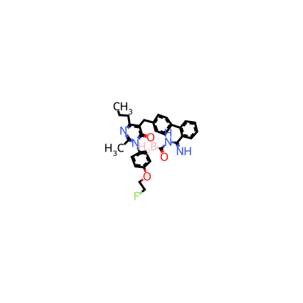 BC(=O)NC(=N)c1ccccc1-c1ccc(Cc2c(CCC)nc(C)n(-c3ccc(OCCF)cc3)c2=O)cc1